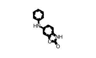 O=c1[nH]c2ccc(Nc3ccccc3)cc2o1